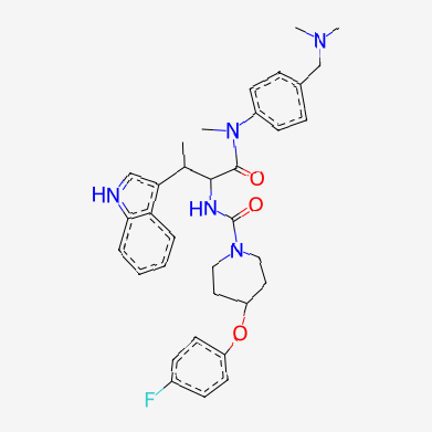 CC(c1c[nH]c2ccccc12)C(NC(=O)N1CCC(Oc2ccc(F)cc2)CC1)C(=O)N(C)c1ccc(CN(C)C)cc1